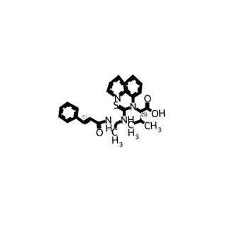 CC(NC(=O)/C=C/c1ccccc1)NC(=S)N(c1cccc2cccnc12)[C@H](C(=O)O)C(C)C